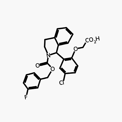 O=C(O)COc1ccc(Cl)cc1C1c2ccccc2CCN1C(=O)OCc1cccc(F)c1